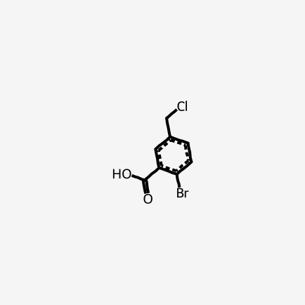 O=C(O)c1cc(CCl)ccc1Br